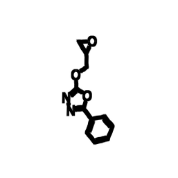 c1ccc(-c2nnc(OCC3CO3)o2)cc1